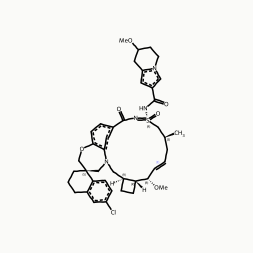 COC1CCn2cc(C(=O)N[S@@]3(=O)=NC(=O)c4ccc5c(c4)N(C[C@@H]4CC[C@H]4[C@@H](OC)/C=C/C[C@H](C)C3)C[C@@]3(CCCc4cc(Cl)ccc43)CO5)cc2C1